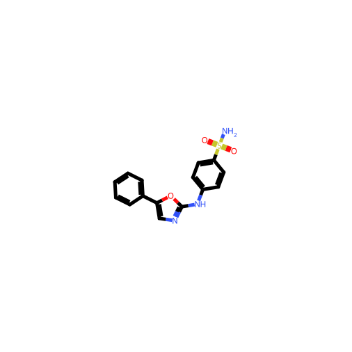 NS(=O)(=O)c1ccc(Nc2ncc(-c3ccccc3)o2)cc1